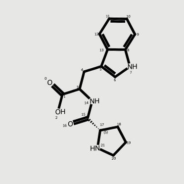 O=C(O)C(Cc1c[nH]c2ccccc12)NC(=O)[C@@H]1CCCN1